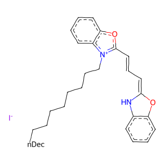 CCCCCCCCCCCCCCCCCC[n+]1c(C=CC=C2Nc3ccccc3O2)oc2ccccc21.[I-]